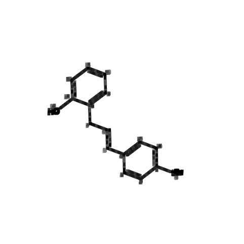 CC(C)(C)c1ccc(C=CCc2ccccc2O)cc1